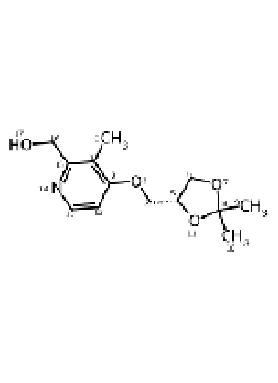 Cc1c(OC[C@@H]2COC(C)(C)O2)ccnc1CO